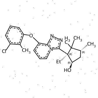 CC[C@@]1(c2nnc3c(Oc4cccc(Cl)c4C)cccn23)[C@H](O)C[C@@H](C)C1(C)C